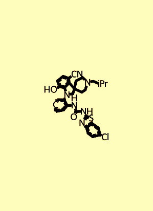 CC(C)CN1CCC2(CC1)CN(c1ccccc1NC(=O)Nc1nc3ccc(Cl)cc3s1)c1c(O)ccc(C#N)c12